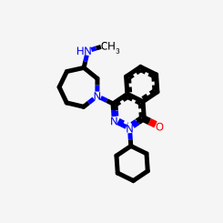 CNC1CCCCN(c2nn(C3CCCCC3)c(=O)c3ccccc23)C1